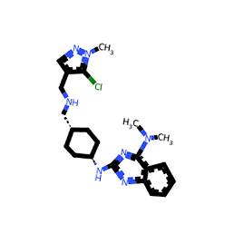 CN(C)c1nc(N[C@H]2CC[C@@H](CNCc3cnn(C)c3Cl)CC2)nc2ccccc12